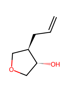 C=CC[C@@H]1COC[C@H]1O